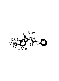 COP(=O)(OC)C1=C(C(=O)O)N2C(=O)C(NC(=O)COc3ccccc3)C2CC1.[NaH]